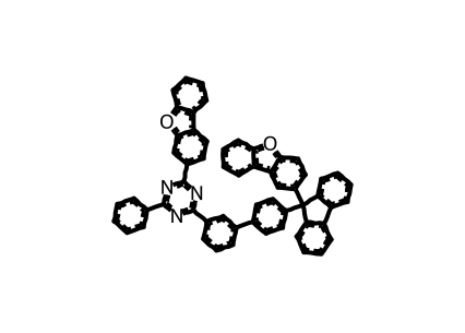 c1ccc(-c2nc(-c3cccc(-c4ccc(C5(c6ccc7oc8ccccc8c7c6)c6ccccc6-c6ccccc65)cc4)c3)nc(-c3ccc4c(c3)oc3ccccc34)n2)cc1